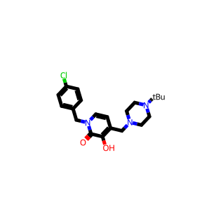 CC(C)(C)N1CCN(Cc2ccn(Cc3ccc(Cl)cc3)c(=O)c2O)CC1